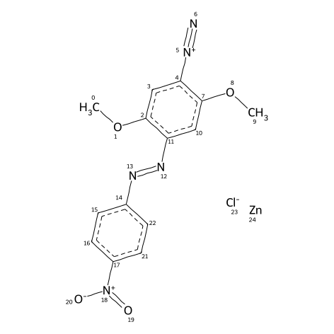 COc1cc([N+]#N)c(OC)cc1N=Nc1ccc([N+](=O)[O-])cc1.[Cl-].[Zn]